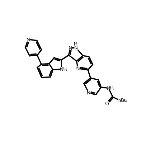 CCCCC(=O)Nc1cncc(-c2ccc3[nH]nc(-c4cc5c(-c6ccncc6)cccc5[nH]4)c3n2)c1